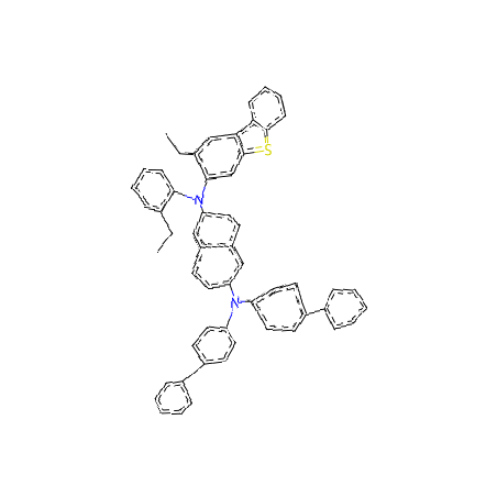 CCc1ccccc1N(c1ccc2cc(N(c3ccc(-c4ccccc4)cc3)c3ccc(-c4ccccc4)cc3)ccc2c1)c1cc2sc3ccccc3c2cc1CC